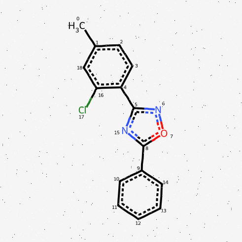 Cc1ccc(-c2noc(-c3ccccc3)n2)c(Cl)c1